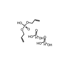 C=CCOP(=O)(O)OCC=C.O=[PH](O)O.O=[PH](O)O